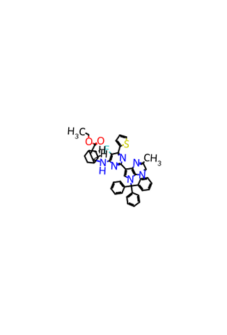 CCOC(=O)[C@@H]1C2CCC(CC2)[C@H]1Nc1nc(-c2cn(C(c3ccccc3)(c3ccccc3)c3ccccc3)c3ncc(C)nc23)nc(-c2cccs2)c1F